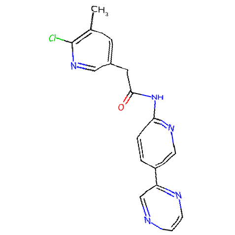 Cc1cc(CC(=O)Nc2ccc(-c3cnccn3)cn2)cnc1Cl